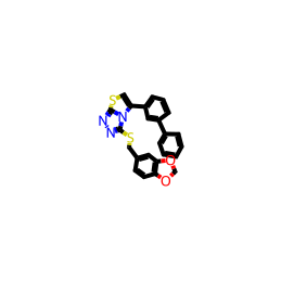 c1ccc(-c2cccc(-c3csc4nnc(SCc5ccc6c(c5)OCO6)n34)c2)cc1